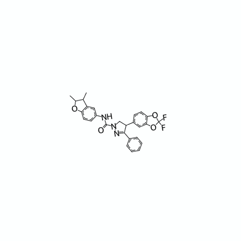 CC1Oc2ccc(NC(=O)N3CC(c4ccc5c(c4)OC(F)(F)O5)C(c4ccccc4)=N3)cc2C1C